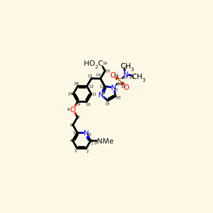 CNc1cccc(CCOc2ccc(CC(CC(=O)O)c3nccn3S(=O)(=O)N(C)C)cc2)n1